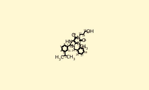 CC(C)c1cccc(C2Nc3c(n(C)c(=O)n(CCCO)c3=O)N2Cc2ccccc2)c1